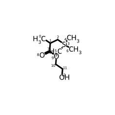 CC(C[Si](C)(C)C)C(=O)OCCO